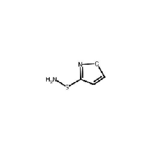 NSc1ccon1